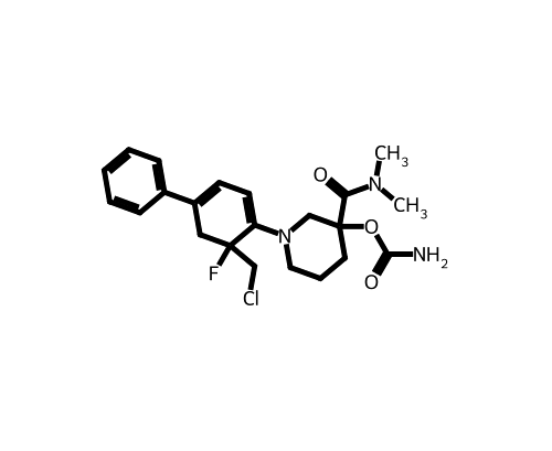 CN(C)C(=O)C1(OC(N)=O)CCCN(C2=CC=C(c3ccccc3)CC2(F)CCl)C1